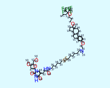 CCCC(OCCCOC1CCC2C3CCc4cc(OCCN(C)CCCCCCSSCCCCCCNC(=O)CCc5cn(C6CC(OC)C(COC)O6)c(=O)[nH]c5=O)ccc4C3CCC12C)(C(F)(F)F)C(F)(F)F